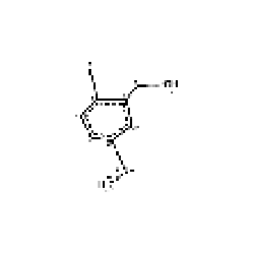 CNc1ccc(F)c(CO)c1